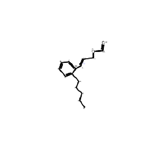 CCCCCc1ccccc1/C=C/COC=O